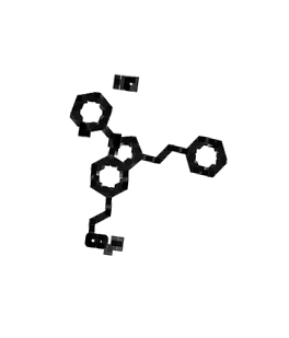 Cl.O=C(O)CCc1ccc2c(c1)c(CCc1ccccc1)cn2-c1ccccn1